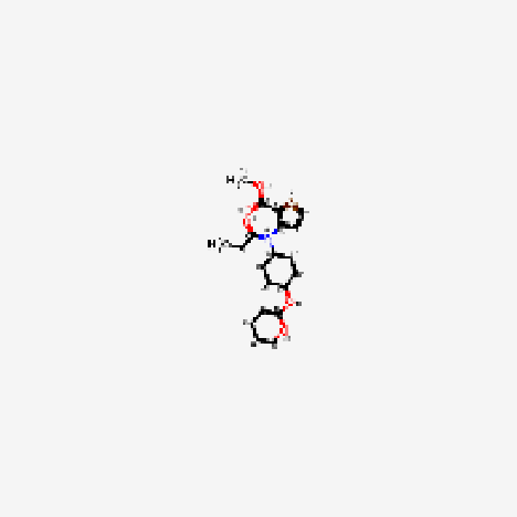 CCC(=O)N(c1ccsc1C(=O)OC)C1CCC(OC2CCCCO2)CC1